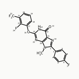 Cn1c(-c2ccc(F)cc2)nc2c(=O)[nH]c(Oc3cccc(C(F)(F)F)c3F)nc21